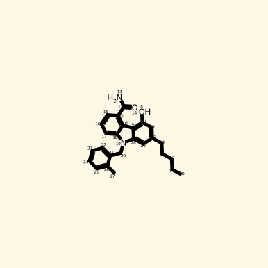 CCCCCc1cc(O)c2c3c(C(N)=O)cccc3n(Cc3ccccc3C)c2c1